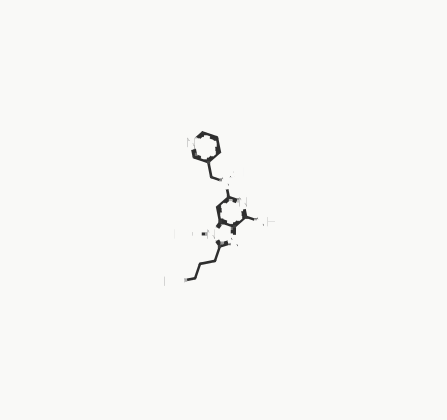 CN(Cc1cccnc1)c1cc2c(nc(CCCO)n2C)c(N)n1